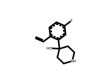 C=Cc1ccc(F)cc1C1(O)CCNCC1